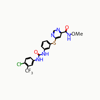 CONC(=O)c1cc(Sc2cccc(NC(=O)Nc3ccc(Cl)c(C(F)(F)F)c3)c2)ncn1